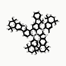 Cc1cc2c(cc1N1c3sc4cc5c(cc4c3B3c4c(cc6c(c41)C(C)(C)c1ccccc1-6)-c1c(ccc4c1oc1cc6c(cc14)C(C)(C)CCC6(C)C)N3c1ccc3c(c1)C(C)(C)CCC3(C)C)C(C)(C)CCC5(C)C)C(C)(C)CCC2(C)C